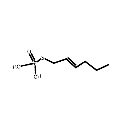 CCCC=CCSP(=O)(O)O